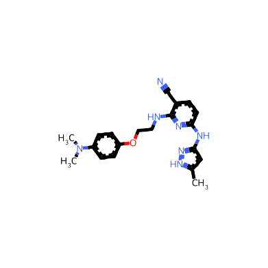 Cc1cc(Nc2ccc(C#N)c(NCCOc3ccc(N(C)C)cc3)n2)n[nH]1